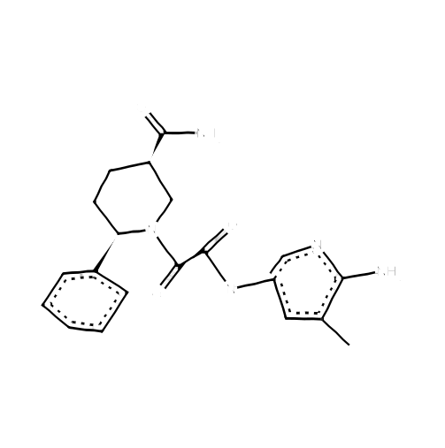 Cc1cc(NC(=O)C(=O)N2C[C@H](C(N)=O)CC[C@@H]2c2ccccc2)cnc1N